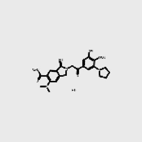 Br.CNC(=O)c1cc2c(cc1N(C)C)CN(CC(=O)c1cc(N3CCCC3)c(OC)c(C(C)(C)C)c1)C2=N